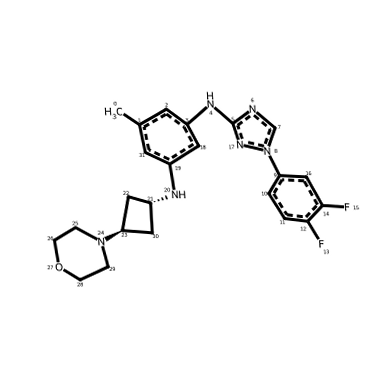 Cc1cc(Nc2ncn(-c3ccc(F)c(F)c3)n2)cc(N[C@H]2C[C@H](N3CCOCC3)C2)c1